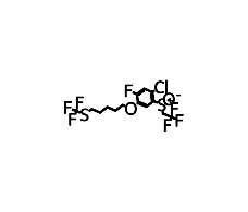 [O-][S@+](CC(F)(F)F)c1cc(OCCCCCSC(F)(F)F)c(F)cc1Cl